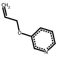 C=CCOc1cccnc1